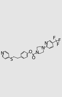 O=C(Oc1ccc(CCSc2ccncc2)cc1)N1CCN(c2ccc(C(F)(F)F)cn2)CC1